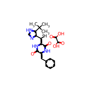 O=C(O)C(=O)O.[2H]/C(c1nc[nH]c1C(C)(C)C)=c1/[nH]c(=O)/c(=C/c2ccccc2)[nH]c1=O